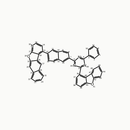 c1ccc(-c2nc(-c3ccc4cc(-c5ccnc6oc7cc8ccccc8cc7c56)ccc4c3)nc(-c3cccc4oc5ccccc5c34)n2)cc1